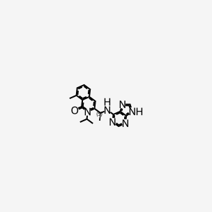 Cc1cccc2cc([C@H](C)Nc3ncnc4[nH]cnc34)n(C(C)C)c(=O)c12